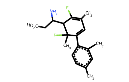 Cc1ccc(C2=CC(C(F)(F)F)=C(F)C(C(N)CC(=O)O)C2(C)F)c(C)c1